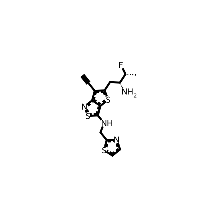 C#Cc1c(C[C@@H](N)[C@@H](C)F)sc2c(NCc3nccs3)snc12